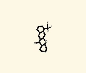 O=c1c2ccccc2oc2cc3c(C(F)(F)F)cccc3cc12